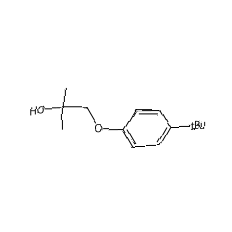 CC(C)(O)COc1ccc(C(C)(C)C)cc1